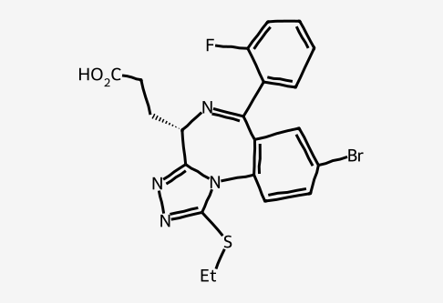 CCSc1nnc2n1-c1ccc(Br)cc1C(c1ccccc1F)=N[C@H]2CCC(=O)O